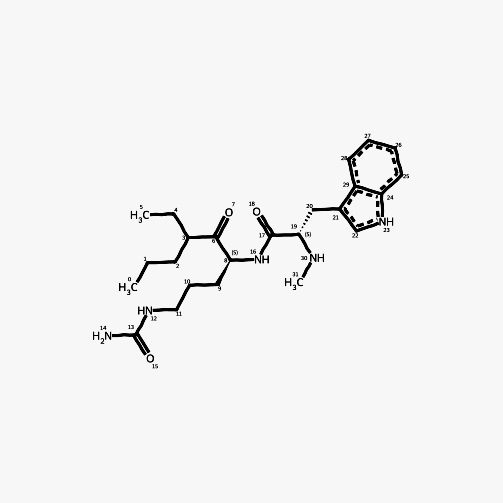 CCCC(CC)C(=O)[C@H](CCCNC(N)=O)NC(=O)[C@H](Cc1c[nH]c2ccccc12)NC